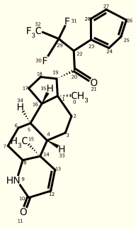 C[C@]12CC[C@H]3[C@@H](CCC4NC(=O)C=C[C@@]43C)[C@@H]1CC[C@@H]2C(=O)C(c1ccccc1)C(F)(F)C(F)(F)F